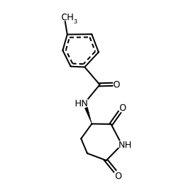 Cc1ccc(C(=O)N[C@@H]2CCC(=O)NC2=O)cc1